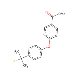 COC(=O)c1ccc(Oc2ccc(C(F)(C(F)(F)F)C(F)(F)F)cc2)cc1